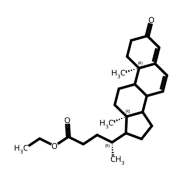 CCOC(=O)CC[C@@H](C)C1CCC2C3C=CC4=CC(=O)CC[C@]4(C)C3CC[C@@]21C